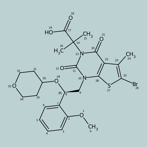 COc1ccccc1[C@H](Cn1c(=O)n(C(C)(C)C(=O)O)c(=O)c2c(C)c(Br)sc21)OC1CCOCC1